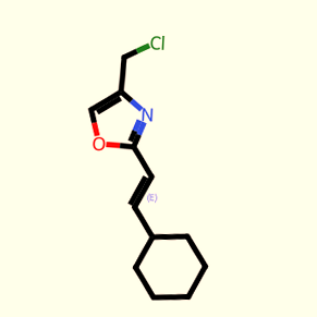 ClCc1coc(/C=C/C2CCCCC2)n1